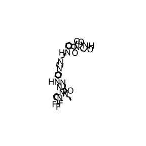 C=CCn1c(=O)c2cnc(Nc3ccc(N4CCN(CCCNc5cccc6c5C(=O)N(C5CCC(=O)NC5=O)C6=O)CC4)cc3)nc2n1-c1cccc(C(F)(F)F)n1